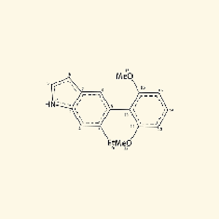 CCc1cc2[nH]ccc2cc1-c1c(OC)cccc1OC